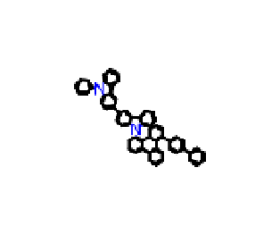 c1ccc(-c2ccc(-c3cccc4c3c3ccccc3c3cccc(-n5c6ccccc6c6cc(-c7ccc8c(c7)c7ccccc7n8-c7ccccc7)ccc65)c34)cc2)cc1